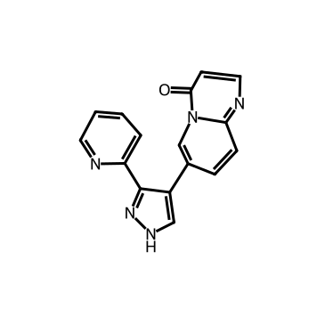 O=c1ccnc2ccc(-c3c[nH]nc3-c3ccccn3)cn12